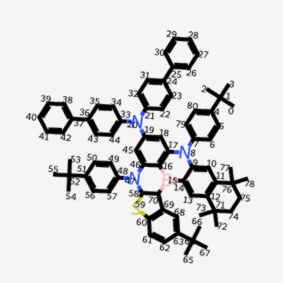 CC(C)(C)c1ccc(N2c3cc4c(cc3B3c5c2cc(N(c2ccc(-c6ccccc6)cc2)c2ccc(-c6ccccc6)cc2)cc5N(c2ccc(C(C)(C)C)cc2)C2Sc5ccc(C(C)(C)C)cc5C32)C(C)(C)CCC4(C)C)cc1